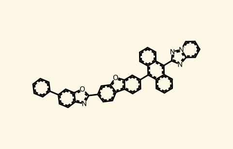 c1ccc(-c2ccc3nc(-c4ccc5c(c4)oc4cc(-c6c7ccccc7c(-c7nc8ccccn8n7)c7ccccc67)ccc45)oc3c2)cc1